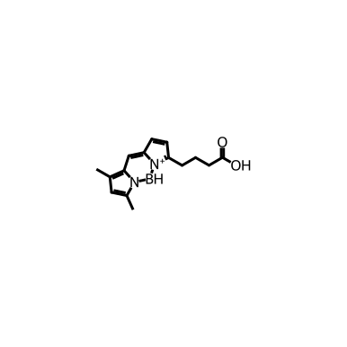 Cc1cc(C)n2c1C=C1C=CC(CCCC(=O)O)=[N+]1B2